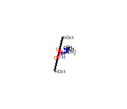 CCCCCCCC/C=C\CCCCCCCC(=O)OCC(COC(=O)CCCCCCC/C=C\CCCCCCCC)OC(=O)NCCN(C)C(=NC)N(C)C